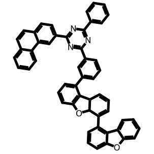 C1=CC2c3c(cccc3-c3cccc(-c4nc(-c5ccccc5)nc(-c5ccc6ccc7ccccc7c6c5)n4)c3)OC2C(c2cccc3oc4ccccc4c23)=C1